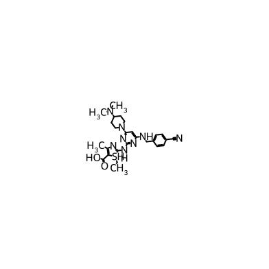 CC[SH]1C(Nc2nc(NCc3ccc(C#N)cc3)cc(N3CCC(N(C)C)CC3)n2)=NC(C)=C1C(=O)O